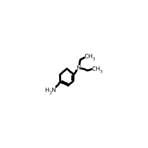 CCN(CC)C1=CC=C(N)CC1